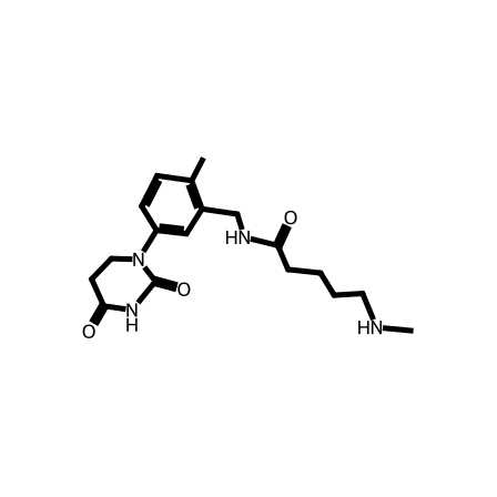 CNCCCCC(=O)NCc1cc(N2CCC(=O)NC2=O)ccc1C